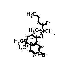 CCCC(F)[Si](C)(C)OC1CCC(C)(C)c2ccc(Br)cc21